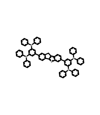 c1ccc(N(c2ccccc2)c2cc(-c3ccc4c(c3)Cc3c-4sc4cc(-c5cc(N(c6ccccc6)c6ccccc6)cc(N(c6ccccc6)c6ccccc6)c5)ccc34)cc(N(c3ccccc3)c3ccccc3)c2)cc1